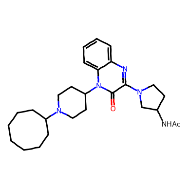 CC(=O)NC1CCN(c2nc3ccccc3n(C3CCN(C4CCCCCCC4)CC3)c2=O)C1